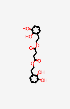 O=C(CCC(=O)OCCc1cccc(O)c1O)OCCc1cccc(O)c1O